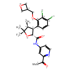 CNC(=O)c1cc(NC(=O)[C@@H]2O[C@@](C)(C(F)(F)F)[C@@H](C)[C@H]2c2ccc(F)c(F)c2OCC2COC2)ccn1